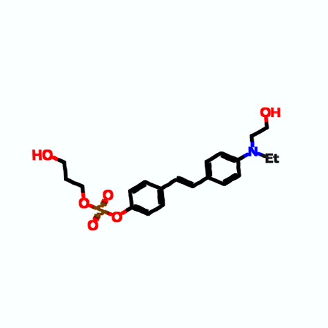 CCN(CCO)c1ccc(C=Cc2ccc(OS(=O)(=O)OCCCO)cc2)cc1